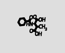 CC(C(=O)O)[C@H](NC(=O)C1CCCCC1)C(=O)O